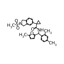 Cc1ccc(C(NC(=O)C2(c3ccc4c(c3)CN(S(C)(=O)=O)C4)CC2)c2ccc(C)o2)c(C)c1